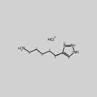 Cl.NCCCCCc1c[nH]nn1